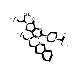 CCC(C)N1Cc2c(nc(N3CCN(C(C)=O)CC3)nc2N(CC)Cc2cc3ccccc3cn2)C1=O